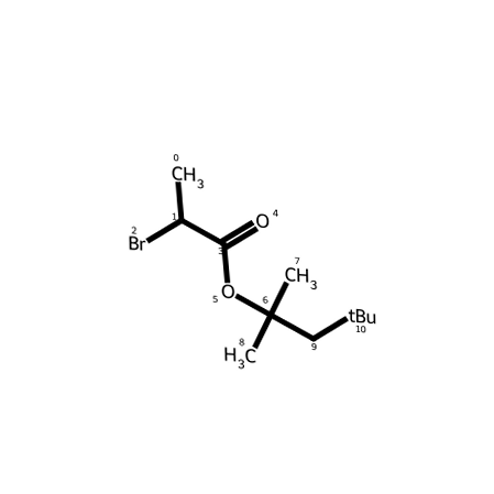 CC(Br)C(=O)OC(C)(C)CC(C)(C)C